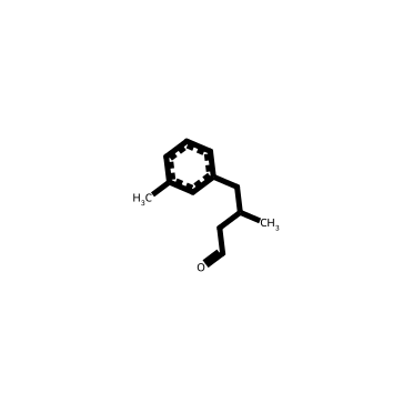 Cc1cccc(CC(C)CC=O)c1